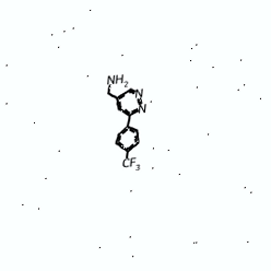 NCc1cnnc(-c2ccc(C(F)(F)F)cc2)c1